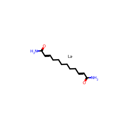 NC(=O)C=CCCCCCCC=CC(N)=O.[La]